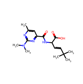 Cc1cc(C(=O)NC(/C=C/C(C)(C)C)C(=O)O)nc(N(C)C)n1